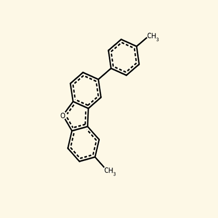 Cc1ccc(-c2ccc3oc4ccc(C)cc4c3c2)cc1